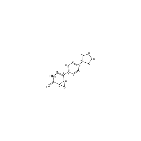 O=C1NN=C(c2ccc(C3CCCC3)cc2)C2CC12